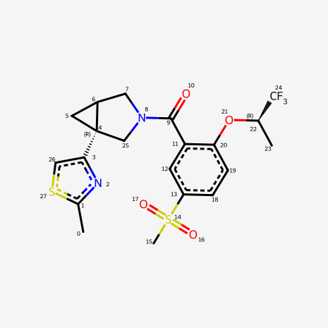 Cc1nc([C@]23CC2CN(C(=O)c2cc(S(C)(=O)=O)ccc2O[C@H](C)C(F)(F)F)C3)cs1